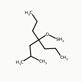 CCCC(CCC)(CC(C)C)O[SiH3]